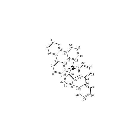 c1ccc2c(c1)c1cccc3c1c1c(cccc21)[Si]31c2cccc3c4ccccc4c4cccc1c4c23